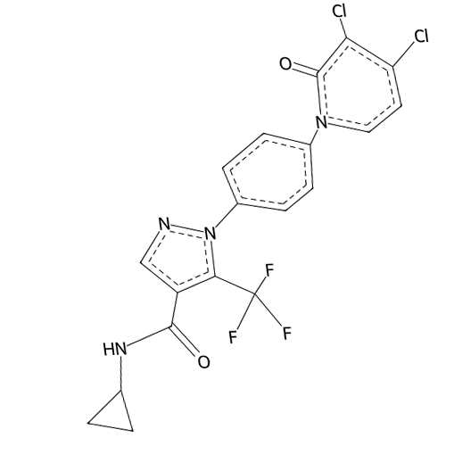 O=C(NC1CC1)c1cnn(-c2ccc(-n3ccc(Cl)c(Cl)c3=O)cc2)c1C(F)(F)F